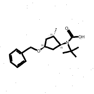 C[C@H]1C[C@H](OCc2ccccc2)C[C@@H]1N(C(=O)O)C(C)(C)C